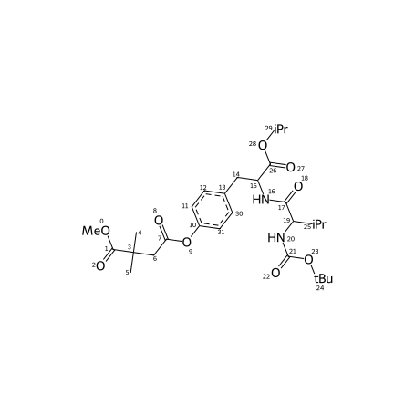 COC(=O)C(C)(C)CC(=O)Oc1ccc(CC(NC(=O)C(NC(=O)OC(C)(C)C)C(C)C)C(=O)OC(C)C)cc1